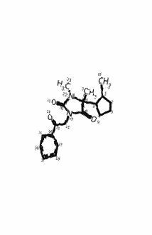 CC1CCCC1C1(C)C(=O)N(CC(=O)c2ccccc2)C(=O)N1C